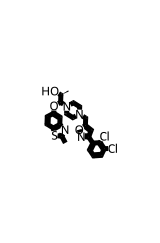 Cc1nc2cc(OC([C@@H](C)O)N3CCN(Cc4cc(-c5cccc(Cl)c5Cl)no4)CC3)ccc2s1